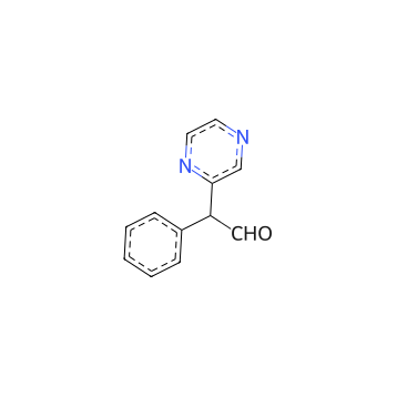 O=CC(c1ccccc1)c1cnccn1